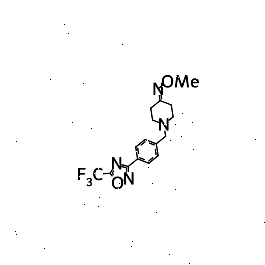 CON=C1CCN(Cc2ccc(-c3noc(C(F)(F)F)n3)cc2)CC1